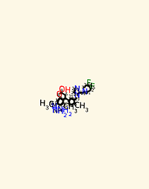 Cc1ccc(C(CC(=O)O)c2ccc(N(C)N)c(N)c2C)cc1Cn1ccnc1CN1CCC(F)(F)CC1